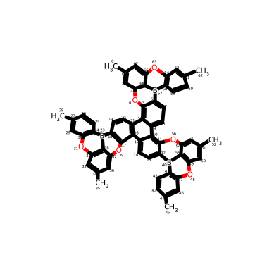 CC1=CC2Oc3c(ccc4c5c6c(ccc5c5c7c(ccc5c34)B3c4ccc(C)cc4Oc4cc(C)cc(c43)O7)B3c4ccc(C)cc4Oc4cc(C)cc(c43)O6)B3c4ccc(C)cc4OC(=C1)C32